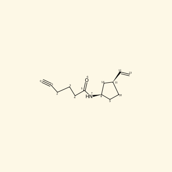 C#CCCCC(=O)N[C@@H]1CC[C@H](C=C)C1